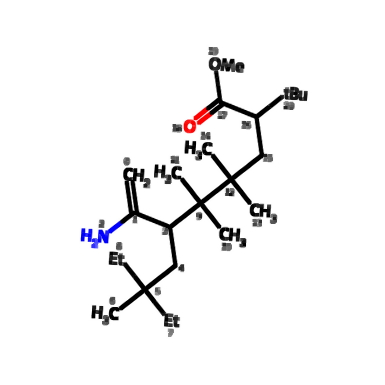 C=C(N)C(CC(C)(CC)CC)C(C)(C)C(C)(C)CC(C(=O)OC)C(C)(C)C